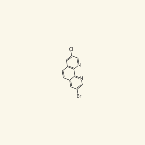 Clc1cnc2c(ccc3cc(Br)cnc32)c1